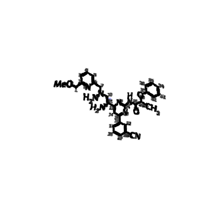 COCc1cccc(CN(N)/C=C(\N)c2cc(-c3cccc(C#N)c3)nc(NC(=O)C(C)Oc3ccccc3)n2)n1